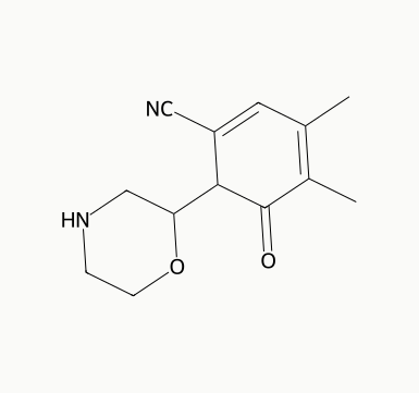 CC1=C(C)C(=O)C(C2CNCCO2)C(C#N)=C1